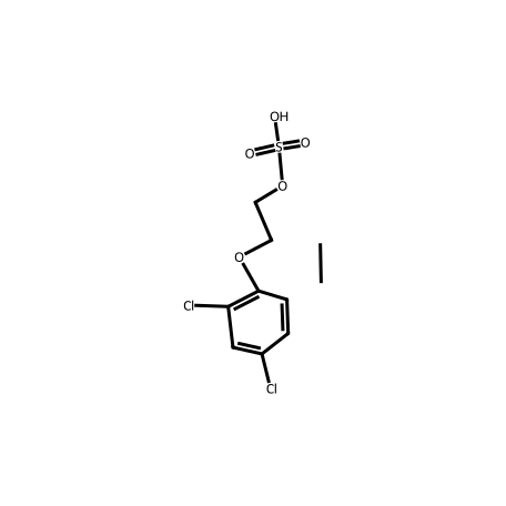 CC.O=S(=O)(O)OCCOc1ccc(Cl)cc1Cl